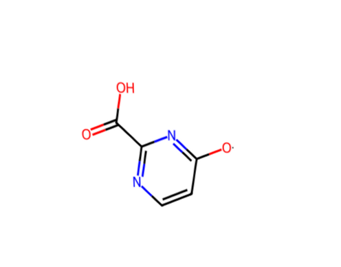 [O]c1ccnc(C(=O)O)n1